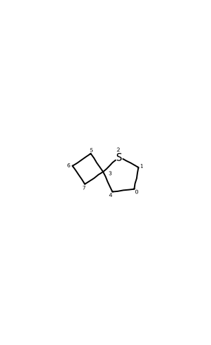 C1CSC2(C1)CCC2